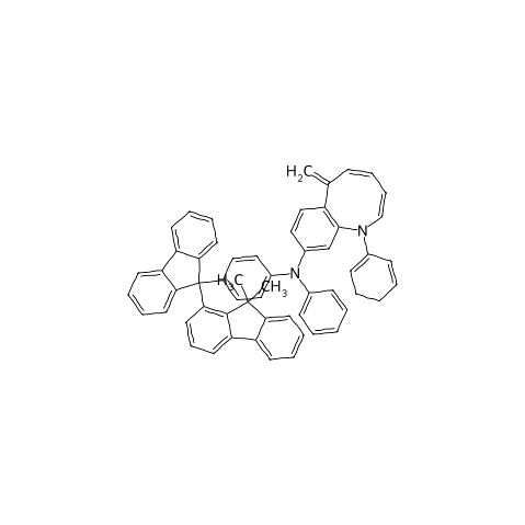 C=C1/C=C\C=C/N(C2=CCCC=C2)c2cc(N(c3ccccc3)c3ccc(C4(c5cccc6c5C(C)(C)c5ccccc5-6)c5ccccc5-c5ccccc54)cc3)ccc21